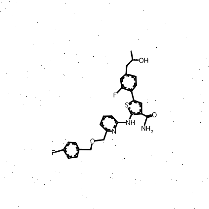 CC(O)Cc1ccc(-c2cc(C(N)=O)c(Nc3cccc(COCc4ccc(F)cc4)n3)s2)c(F)c1